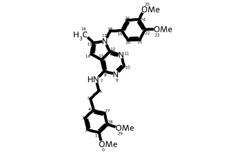 COc1ccc(CCNc2ncnc3c2cc(C)n3Cc2ccc(OC)c(OC)c2)cc1OC